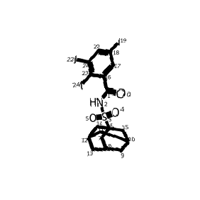 O=C(NS(=O)(=O)C12CC3CC(CC(C3)C1)C2)c1cc(I)cc(I)c1I